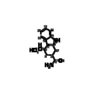 Cl.Cl.NC(=O)C1CCc2c([nH]c3ccccc23)C1